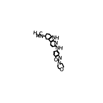 CNC1CCc2[nH]c3nc(Nc4ccc5oc(N6CCOCC6)nc5c4)ccc3c2C1